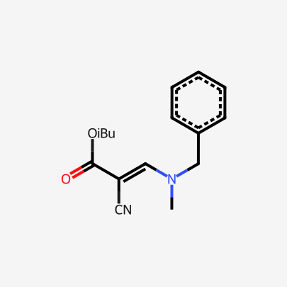 CC(C)COC(=O)/C(C#N)=C/N(C)Cc1ccccc1